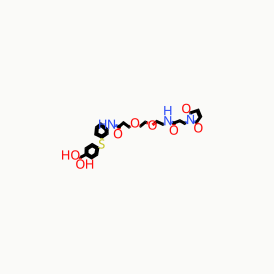 O=C(CCN1C(=O)C=CC1=O)NCCOCCOCCC(=O)Nc1cccc(Sc2ccc(C(O)O)cc2)c1